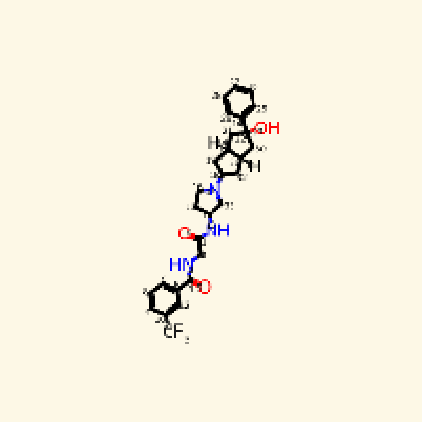 O=C(CNC(=O)c1cccc(C(F)(F)F)c1)NC1CCN(C2C[C@@H]3CC(O)(c4ccccc4)C[C@@H]3C2)C1